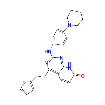 O=c1ccc2c(CCc3cccs3)nc(Nc3ccc(N4CCCCC4)cc3)nc2[nH]1